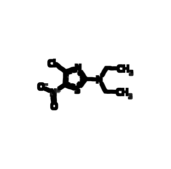 CCN(CC)c1nc(Cl)c([N+](=O)[O-])s1